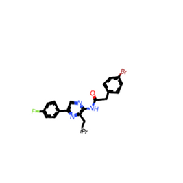 CC(C)Cc1nc(-c2ccc(F)cc2)cnc1NC(=O)Cc1ccc(Br)cc1